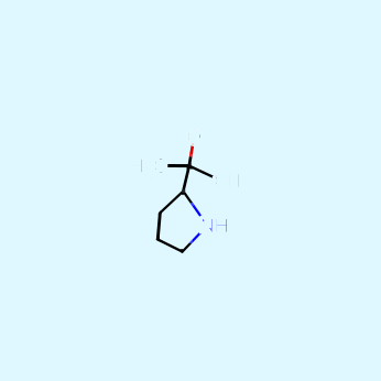 CC(C)([O])C1CCCN1